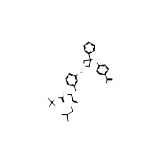 CC(C)COC(=O)[C@H](Cc1cccc(S(=O)(=O)N2CC(Oc3ccc(C(N)=O)cc3)(c3ccccc3)C2)c1)NC(=O)OC(C)(C)C